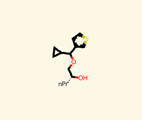 CCC[C@@H](O)COC(c1ccsc1)C1CC1